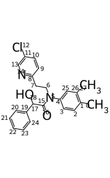 Cc1ccc(N(CCc2ccc(Cl)cn2)C(=O)C(O)c2ccccc2)cc1C